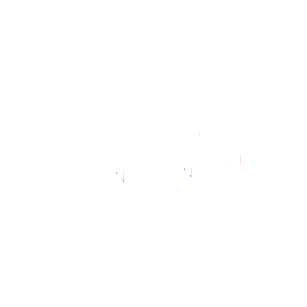 CC1(C)CN(C(=O)O)c2cc(C(F)(F)c3ccccc3)ncc21